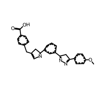 COc1ccc(C2=NN=C(c3cccc(C4=NC=C(Cc5ccc(C(=O)O)cc5)C4)c3)C2)cc1